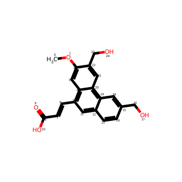 COc1cc2c(/C=C/C(=O)O)cc3ccc(CO)cc3c2cc1CO